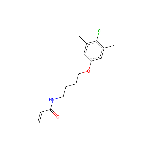 C=CC(=O)NCCCCOc1cc(C)c(Cl)c(C)c1